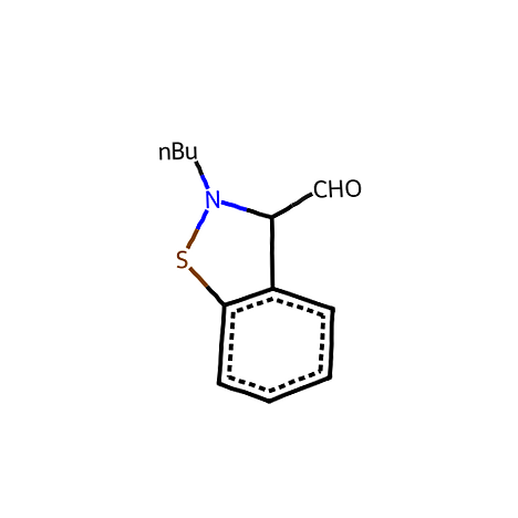 CCCCN1Sc2ccccc2C1C=O